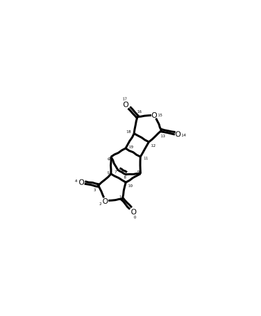 O=C1OC(=O)C2C3C=CC(C12)C1C2C(=O)OC(=O)C2C31